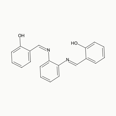 Oc1ccccc1/C=N\c1ccccc1/N=C/c1ccccc1O